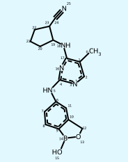 Cc1cnc(Nc2ccc3c(c2)COB3O)nc1NC1CCCC1C#N